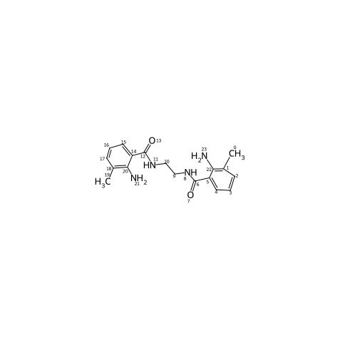 Cc1cccc(C(=O)NCCNC(=O)c2cccc(C)c2N)c1N